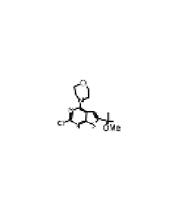 COC(C)(C)c1cc2c(N3CCOCC3)nc(Cl)nc2s1